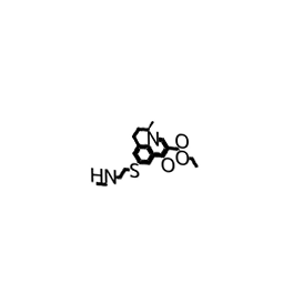 CCNCCSc1cc2c3c(c1)c(=O)c(C(=O)OCC)cn3[C@H](C)CC2